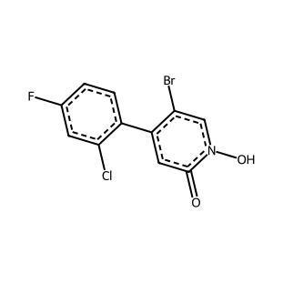 O=c1cc(-c2ccc(F)cc2Cl)c(Br)cn1O